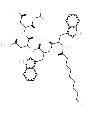 CCCCCCCCCC(=O)NC(Cc1c[nH]c2ccccc12)C(=O)NC(Cc1c[nH]c2ccccc12)C(=O)NC(CC(N)=O)C(=O)NC(CC(=O)O)C(=O)NC(C)C